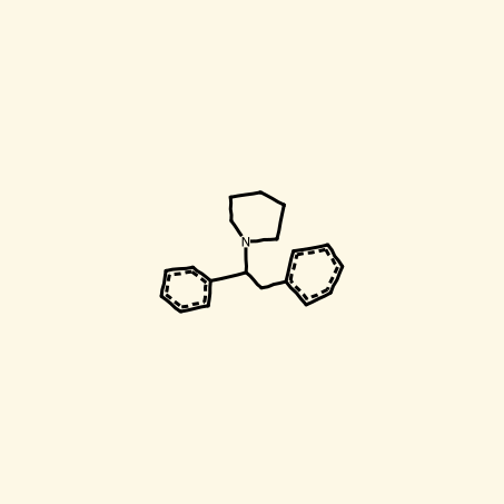 c1ccc(CC(c2ccccc2)N2CCCCC2)cc1